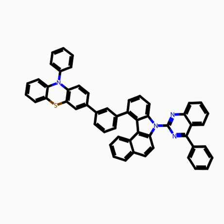 c1ccc(-c2nc(-n3c4cccc(-c5cccc(-c6ccc7c(c6)Sc6ccccc6N7c6ccccc6)c5)c4c4c5ccccc5ccc43)nc3ccccc23)cc1